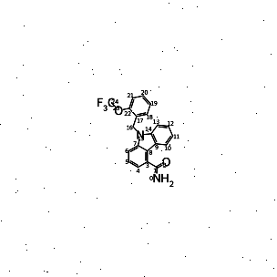 NC(=O)c1cccc2c1c1[c]cccc1n2Cc1ccccc1OC(F)(F)F